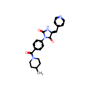 CC1CCN(C(=O)c2ccc(N3C(=O)N/C(=C\c4ccncc4)C3=O)cc2)CC1